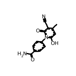 Cc1cc(O)n(-c2ccc(C(N)=O)cc2)c(=O)c1C#N